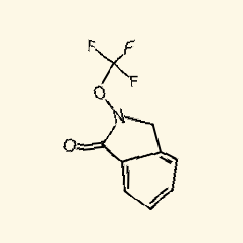 O=C1c2ccccc2CN1OC(F)(F)F